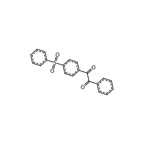 O=C(C(=O)c1ccc(S(=O)(=O)c2ccccc2)cc1)c1ccccc1